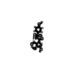 COC1=NN(C(=O)NS(=O)(=O)c2ccc(OC)cc2)C(C=O)N1OC